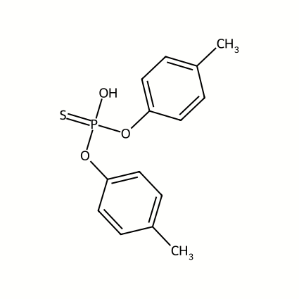 Cc1ccc(OP(O)(=S)Oc2ccc(C)cc2)cc1